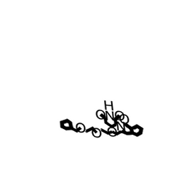 O=C1CCC(n2c(COCCOCCOCc3ccccc3)cc3ccccc3c2=O)C(=O)N1